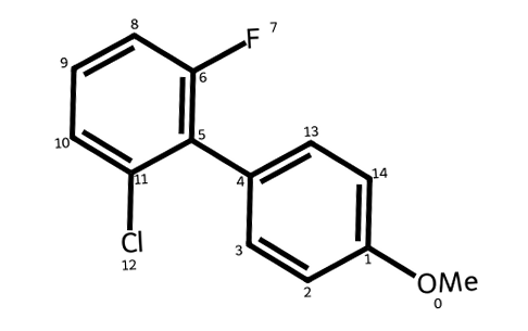 COc1ccc(-c2c(F)cccc2Cl)cc1